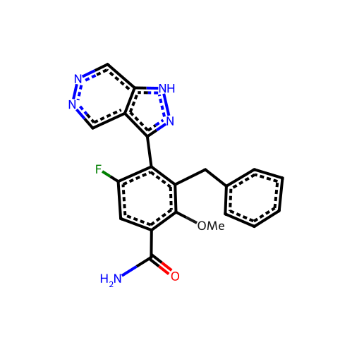 COc1c(C(N)=O)cc(F)c(-c2n[nH]c3cnncc23)c1Cc1ccccc1